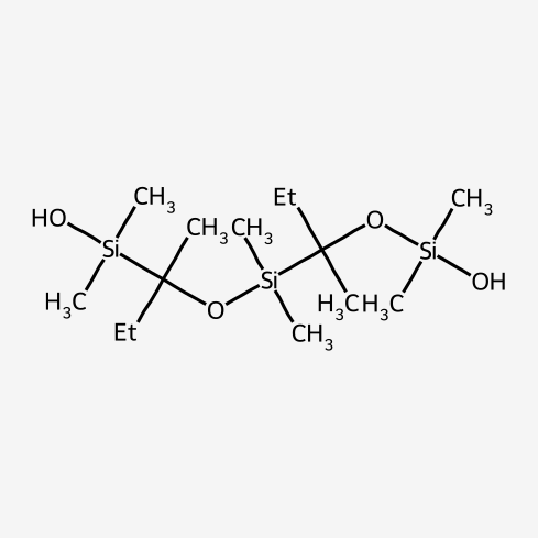 CCC(C)(O[Si](C)(C)C(C)(CC)O[Si](C)(C)O)[Si](C)(C)O